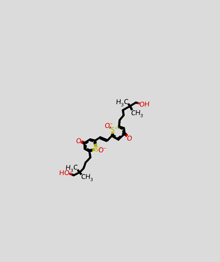 CC(C)(CO)CCCc1cc(=O)cc(C=Cc2cc(=O)cc(CCCC(C)(C)CO)[s+]2[O-])[s+]1[O-]